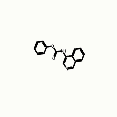 O=C(Nc1cncc2ccccc12)Oc1ccccc1